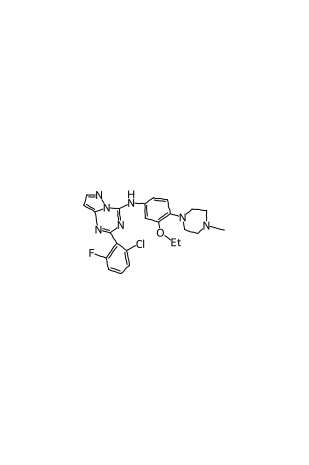 CCOc1cc(Nc2nc(-c3c(F)cccc3Cl)nc3ccnn23)ccc1N1CCN(C)CC1